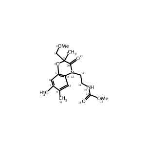 COCC1(C)Oc2cc(C)c(C)cc2N(CCNC(=O)OC)C1=O